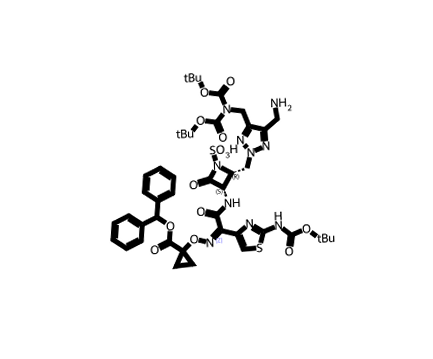 CC(C)(C)OC(=O)Nc1nc(/C(=N/OC2(C(=O)OC(c3ccccc3)c3ccccc3)CC2)C(=O)N[C@@H]2C(=O)N(S(=O)(=O)O)[C@@H]2Cn2nc(CN)c(CN(C(=O)OC(C)(C)C)C(=O)OC(C)(C)C)n2)cs1